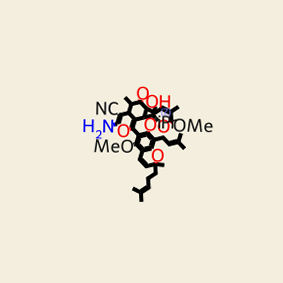 COC(=O)/C(C)=C\CC1(O)C(=O)C(C)C2C(C#N)=C(N)OC3=C2C1(C(C)C(C)C)Oc1c(CC=C(C)C)c2c(c(OC)c13)C=CC(C)(CCC=C(C)C)O2